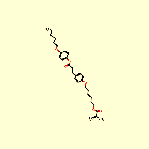 C=C(C)C(=O)OCCCCCCOc1ccc(C=CC(=O)Oc2ccc(OCCCCCC)cc2)cc1